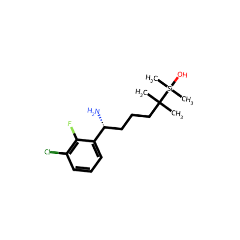 CC(C)(CCC[C@@H](N)c1cccc(Cl)c1F)[Si](C)(C)O